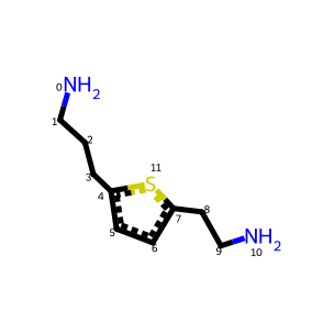 NCCCc1ccc(CCN)s1